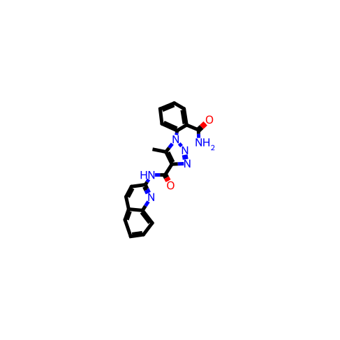 Cc1c(C(=O)Nc2ccc3ccccc3n2)nnn1-c1ccccc1C(N)=O